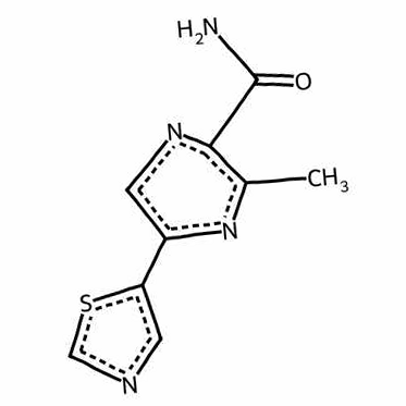 Cc1nc(-c2cncs2)cnc1C(N)=O